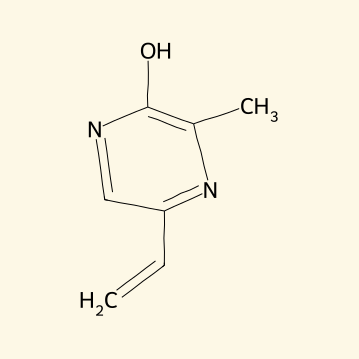 C=Cc1cnc(O)c(C)n1